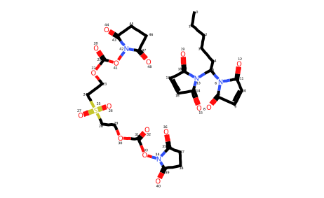 CCCCCC(N1C(=O)C=CC1=O)N1C(=O)C=CC1=O.O=C(OCCS(=O)(=O)CCOC(=O)ON1C(=O)CCC1=O)ON1C(=O)CCC1=O